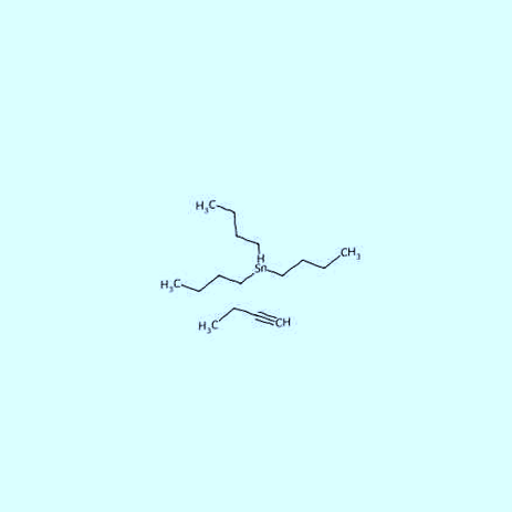 C#CCC.CCC[CH2][SnH]([CH2]CCC)[CH2]CCC